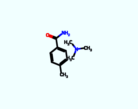 CN(C)C.Cc1ccc(C(N)=O)cc1